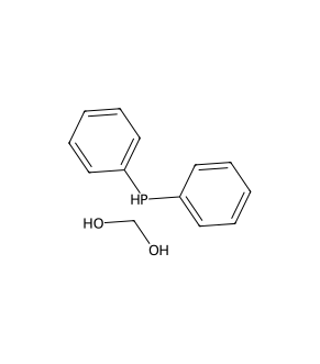 OCO.c1ccc(Pc2ccccc2)cc1